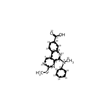 CSc1ncc2c(n1)c(N(C)c1ccccc1)nc1cc(C(=O)O)ccc12